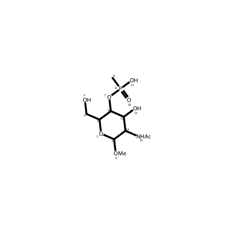 COC1OC(CO)C(OP(C)(=O)O)C(O)C1NC(C)=O